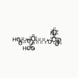 CS(=O)(=O)c1cc(OCCCCCCc2cccc(OCCCC(=O)O)c2CCC(=O)O)cc(-c2ccccn2)c1